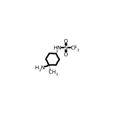 C[C@]1(N)CC[C@H](NS(=O)(=O)C(F)(F)F)CC1